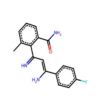 Cc1cccc(C(N)=O)c1C(=N)/C=C(\N)c1ccc(F)cc1